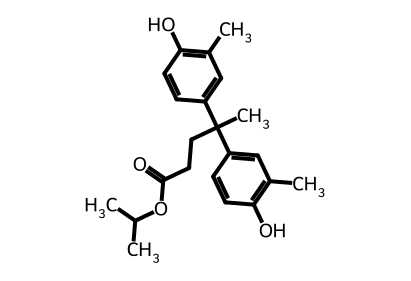 Cc1cc(C(C)(CCC(=O)OC(C)C)c2ccc(O)c(C)c2)ccc1O